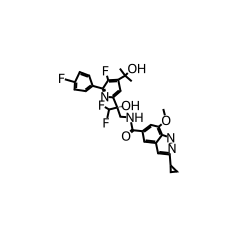 COc1cc(C(=O)NC[C@](O)(c2cc(C(C)(C)O)c(F)c(-c3ccc(F)cc3)n2)C(F)F)cc2cc(C3CC3)nnc12